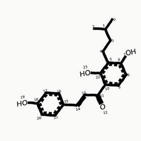 CC(C)CCc1c(O)ccc(C(=O)C=Cc2ccc(O)cc2)c1O